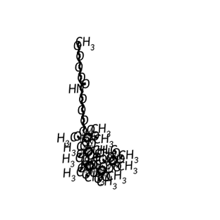 COCCOCCOCCOCC(=O)NCCOCCOCCOCCO[C@H]1[C@H](OC)[C@@H](OC)[C@@H](O[C@H]2[C@H](OC)[C@@H](OC)[C@H](O[C@H]3[C@H](OC)[C@@H](OC)[C@@H](O[C@H]4[C@H](OC)[C@@H](OC)[C@H](O[C@H]5[C@H](OC)[C@@H](OC)[C@@H](OC)O[C@@H]5COC)O[C@H]4C)O[C@@H]3COC)O[C@@H]2C)O[C@@H]1COC